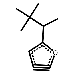 CC(c1cc#co1)C(C)(C)C